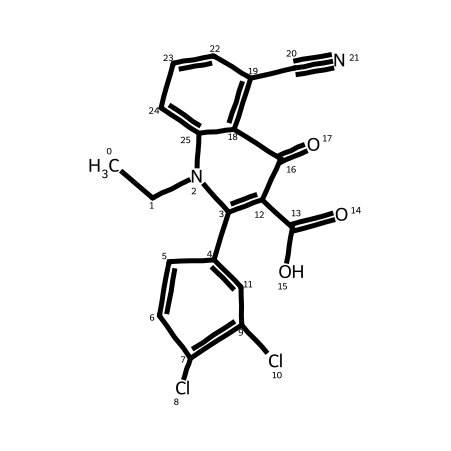 CCn1c(-c2ccc(Cl)c(Cl)c2)c(C(=O)O)c(=O)c2c(C#N)cccc21